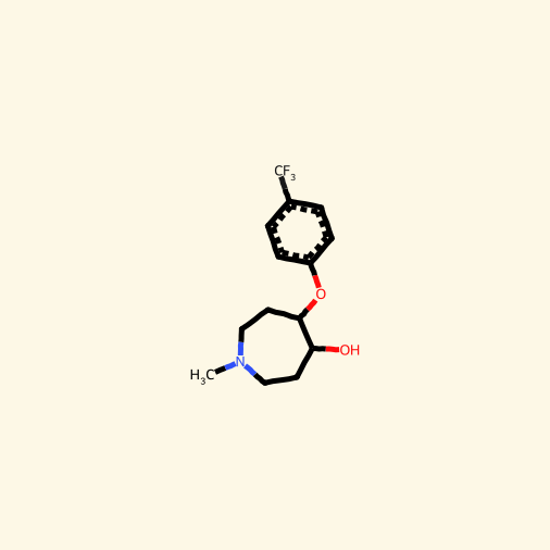 CN1CCC(O)C(Oc2ccc(C(F)(F)F)cc2)CC1